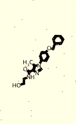 Cc1c(C(=O)NCCO)ncn1-c1ccc(OCc2ccccc2)cc1